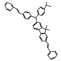 CC(C)c1ccc(N(c2ccc(/C=C/c3ccccc3)cc2)c2ccc3c(c2)C(C)(C)c2cc(/C=C/c4ccccc4)ccc2-3)cc1